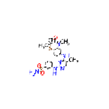 Cc1cnc(Nc2cccc(S(N)(=O)=O)c2)nc1Nc1ccc2c(c1)N(C)C(=O)C(C)(C)S2